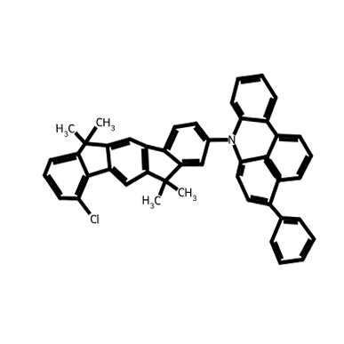 CC1(C)c2cc(N(c3ccc(-c4ccccc4)cc3)c3ccccc3-c3ccccc3)ccc2-c2cc3c(cc21)-c1c(Cl)cccc1C3(C)C